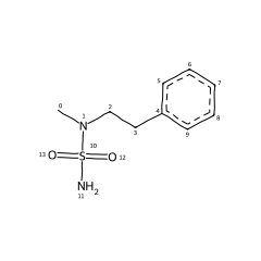 CN(CCc1ccccc1)S(N)(=O)=O